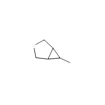 CC(C)C1C2CNCC21